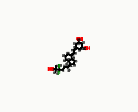 C[C@H](CCC(F)(F)C(C)(C)O)C1CCC2/C(=C/C=C3C[C@@H](O)C[C@H](O)C3)CCC[C@@]21C